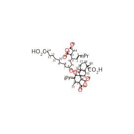 CCC/C=C/C(CCC(CCCCCCCCC(=O)O)OOC1C(C(C)C)C(C)C2C(=O)OC(=O)C2C12CCC1C(C)(CCCC1(C)C(=O)O)C2)C1CC(=O)OC1=O